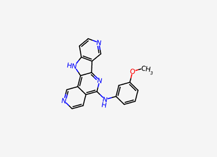 COc1cccc(Nc2nc3c4cnccc4[nH]c3c3cnccc23)c1